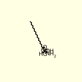 CCCCCCCCCCCCCCCCCC(=O)OC(CC)(CC)C(N)(O)O